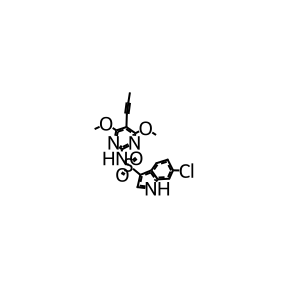 CC#Cc1c(OC)nc(NS(=O)(=O)c2c[nH]c3cc(Cl)ccc23)nc1OC